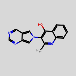 Cc1nc2ccccc2c(O)c1-n1cc2cncnc2c1